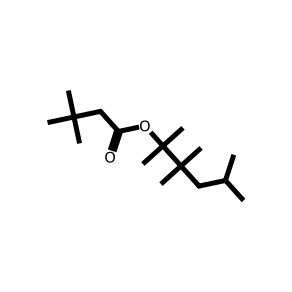 CC(C)CC(C)(C)C(C)(C)OC(=O)CC(C)(C)C